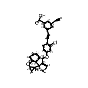 C#Cc1cc(C#Cc2ccc(OCC3=CONC3(c3c(Cl)cccc3Cl)C3CC3)cc2Cl)cc(C(=O)O)c1